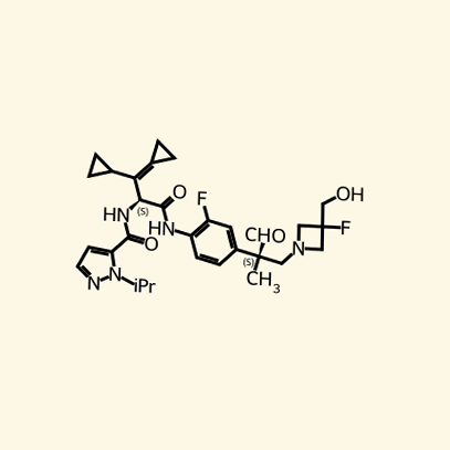 CC(C)n1nccc1C(=O)N[C@H](C(=O)Nc1ccc([C@](C)(C=O)CN2CC(F)(CO)C2)cc1F)C(=C1CC1)C1CC1